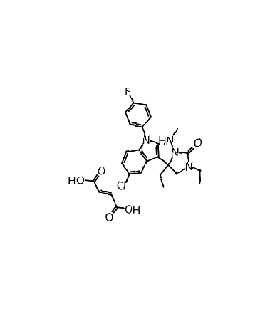 CCN1CC(CC)(c2cn(-c3ccc(F)cc3)c3ccc(Cl)cc23)N(NC)C1=O.O=C(O)C=CC(=O)O